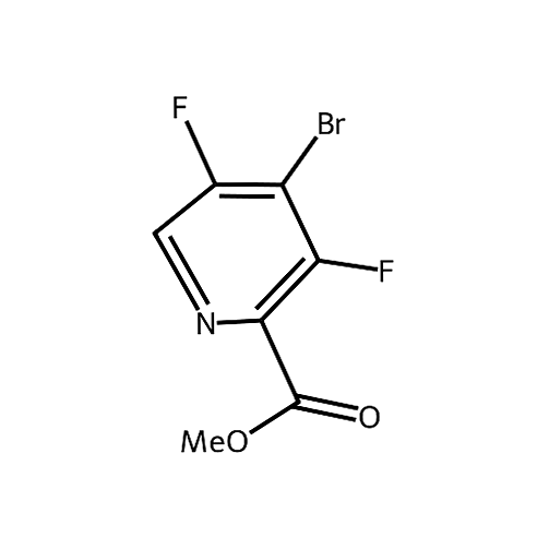 COC(=O)c1ncc(F)c(Br)c1F